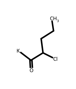 CCCC(Cl)[C](=O)[K]